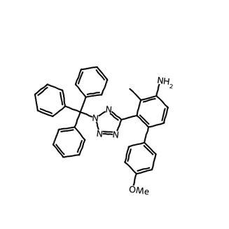 COc1ccc(-c2ccc(N)c(C)c2-c2nnn(C(c3ccccc3)(c3ccccc3)c3ccccc3)n2)cc1